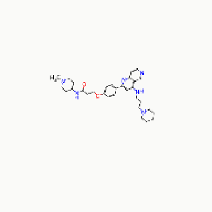 CN1CCC(NC(=O)CCOc2ccc(-c3cc(NCCCN4CCCCC4)c4cnccc4n3)cc2)CC1